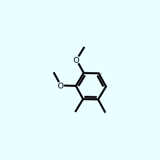 COc1[c]cc(C)c(C)c1OC